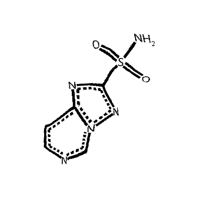 NS(=O)(=O)c1nc2ccncn2n1